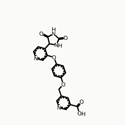 O=C1NC(=O)C(c2ccncc2Oc2ccc(OCc3cncc(C(=O)O)c3)cc2)N1